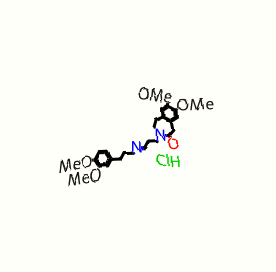 COc1ccc(CCC/N=C/CCN2CCc3cc(OC)c(OC)cc3CC2=O)cc1OC.Cl